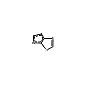 [c]1c[nH]c2c1N=C[N]2